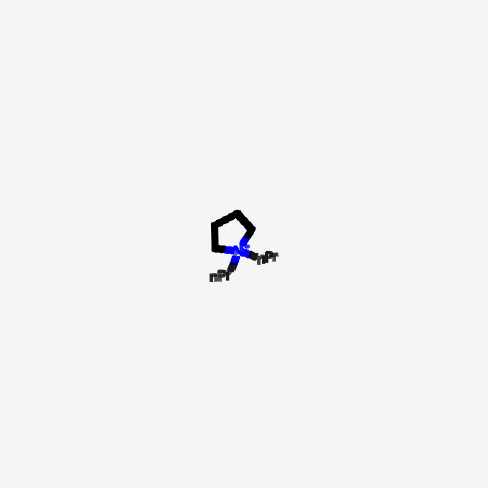 CCC[N+]1(CCC)CCCC1